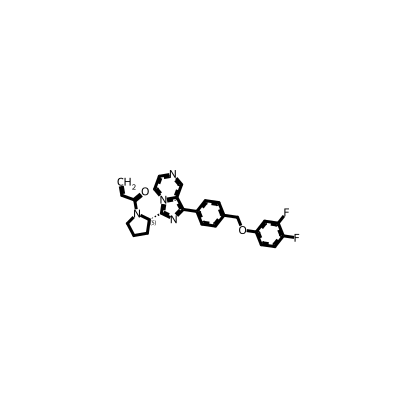 C=CC(=O)N1CCC[C@H]1c1nc(-c2ccc(COc3ccc(F)c(F)c3)cc2)c2cnccn12